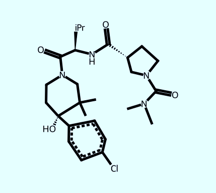 CC(C)[C@@H](NC(=O)[C@@H]1CCN(C(=O)N(C)C)C1)C(=O)N1CC[C@](O)(c2ccc(Cl)cc2)C(C)(C)C1